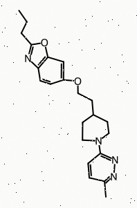 CCCc1nc2ccc(OCCC3CCN(c4ccc(C)nn4)CC3)cc2o1